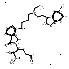 CCN(CCCCc1cccc2c1CN(C(CCC=O)C(=O)NC)C2=O)CCC1OCc2ccc(Cl)cc21